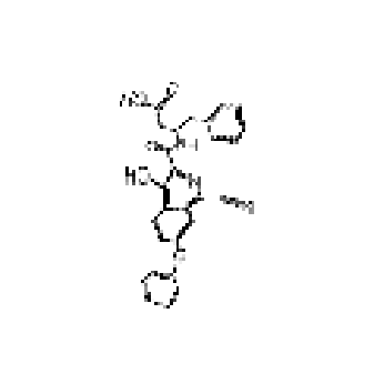 N#Cc1nc(C(=O)NC(CC(=O)O)Cc2ccccc2)c(O)c2ccc(Oc3ccccc3)cc12